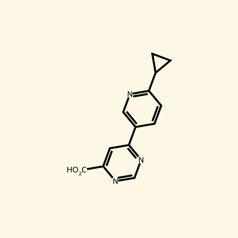 O=C(O)c1cc(-c2ccc(C3CC3)nc2)ncn1